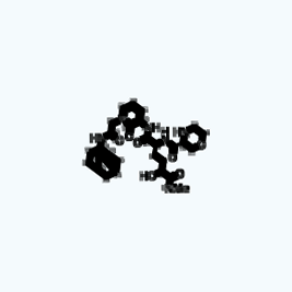 CNC(=O)C(O)CC[C@H](NC(=O)[C@H]1COCCN1)C(=O)Nc1cccn(CC(=O)NC2C3CC4CC(C3)CC2C4)c1=O